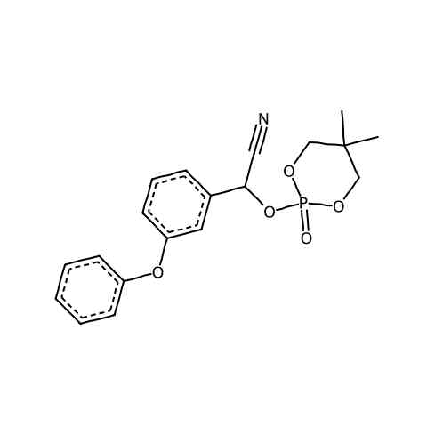 CC1(C)COP(=O)(OC(C#N)c2cccc(Oc3ccccc3)c2)OC1